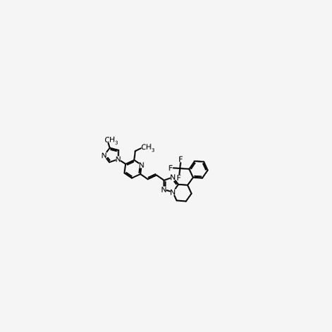 CCc1nc(/C=C/c2nc3n(n2)CCCC3c2ccccc2C(F)(F)F)ccc1-n1cnc(C)c1